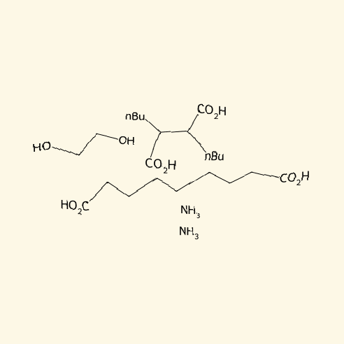 CCCCC(C(=O)O)C(CCCC)C(=O)O.N.N.O=C(O)CCCCCCCC(=O)O.OCCO